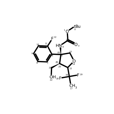 CC(C)(C)OC(=O)N[C@@]1(c2ccccc2F)COC(C(C)(F)F)[C@H]1CO